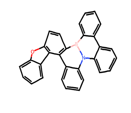 c1ccc2c(c1)B1c3ccc4oc5ccccc5c4c3-c3ccccc3N1c1ccccc1-2